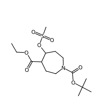 CCOC(=O)C1CCN(C(=O)OC(C)(C)C)CCC1OS(C)(=O)=O